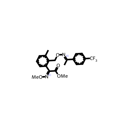 CO/N=C(/C(=O)OC)c1cccc(C)c1CO/N=C(\C)c1ccc(C(F)(F)F)cc1